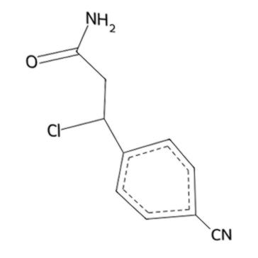 N#Cc1ccc(C(Cl)CC(N)=O)cc1